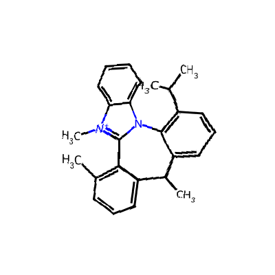 Cc1cccc2c1-c1n(c3ccccc3[n+]1C)-c1c(C(C)C)cccc1C2C